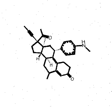 CC#C[C@]1(C(C)=O)CC[C@H]2[C@@H]3CC(C)C4=CC(=O)CCC4=C3[C@@H](c3ccc(NC)cc3)C[C@@]21C